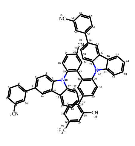 N#Cc1cccc(-c2ccc3c(c2)c2ccccc2n3-c2ccc(C#N)cc2-c2cc(-c3ccc(C(F)(F)F)cc3C#N)ccc2-n2c3ccccc3c3cc(-c4cccc(C#N)c4)ccc32)c1